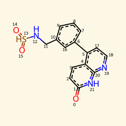 O=c1ccc2c(-c3cccc(CN[SH](=O)=O)c3)ccnc2[nH]1